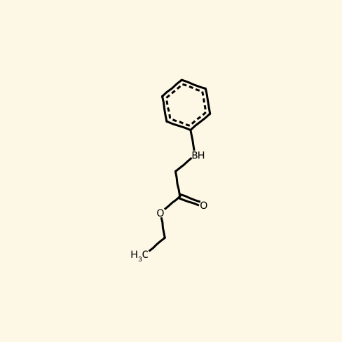 CCOC(=O)CBc1ccccc1